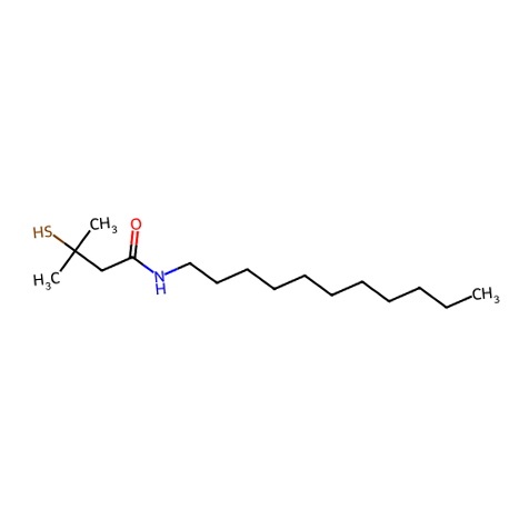 CCCCCCCCCCCNC(=O)CC(C)(C)S